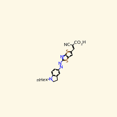 CCCCCCN1CCc2cc(/N=N/c3nc4sc(/C=C(\C#N)C(=O)O)cc4s3)ccc21